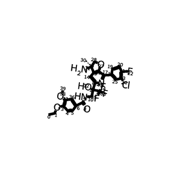 CCOc1ccc(C(=O)NCC(O)(c2cc3c(c(-c4ccc(F)c(Cl)c4)n2)OC[C@]3(C)N)C(F)(F)F)cc1OC